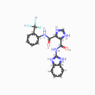 O=C(Nc1ccccc1C(F)(F)F)c1nc[nH]c1C(=O)Nc1nc2ccccc2[nH]1